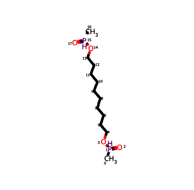 C[PH](=O)OCCCCCCCCCCO[PH](C)=O